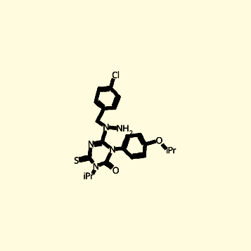 CC(C)Oc1ccc(-n2c(N(N)Cc3ccc(Cl)cc3)nc(=S)n(C(C)C)c2=O)cc1